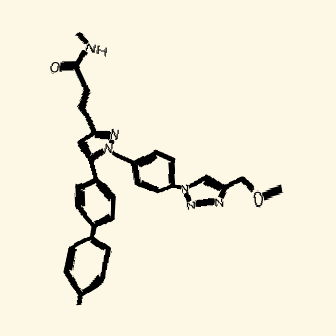 CNC(=O)CCc1cc(-c2ccc(-c3ccc(C)cc3)cc2)n(-c2ccc(-n3cc(COC)nn3)cc2)n1